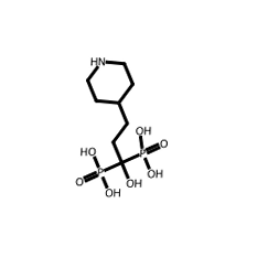 O=P(O)(O)C(O)(CCC1CCNCC1)P(=O)(O)O